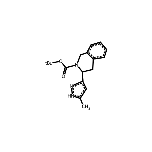 Cc1cc([C@@H]2Cc3ccccc3CN2C(=O)OC(C)(C)C)n[nH]1